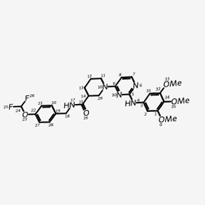 COc1cc(Nc2nccc(N3CCCC(C(=O)NCc4ccc(OC(F)F)cc4)C3)n2)cc(OC)c1OC